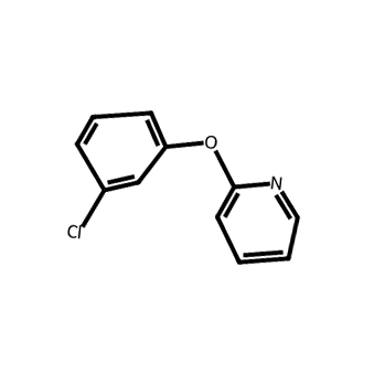 Clc1cccc(Oc2ccccn2)c1